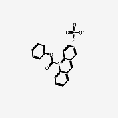 O=C(Oc1ccccc1)[n+]1c2ccccc2cc2ccccc21.O=S(=O)([O-])F